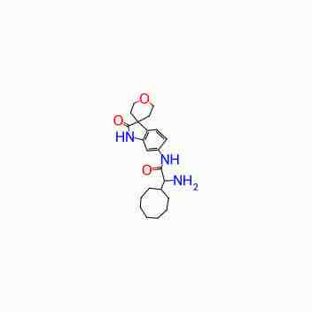 NC(C(=O)Nc1ccc2c(c1)NC(=O)C21CCOCC1)C1CCCCCCC1